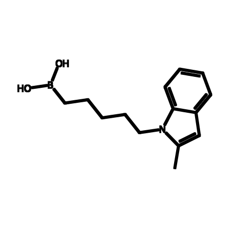 Cc1cc2ccccc2n1CCCCCB(O)O